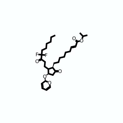 CCCCCCC(F)(F)C(=O)CCC1[C@H](O[C@@H]2C=CC=CO2)CC(=O)[C@@H]1CCCCCC/C=C/C(=O)OC(C)C